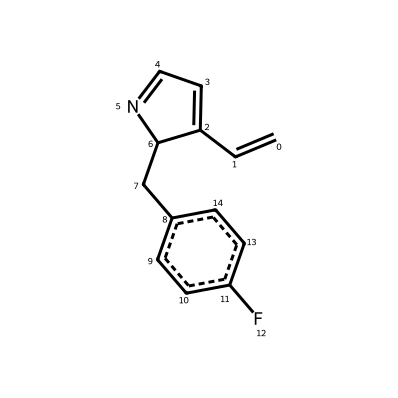 C=CC1=CC=NC1Cc1ccc(F)cc1